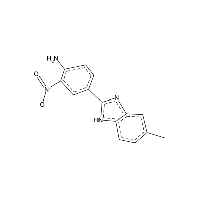 Cc1ccc2[nH]c(-c3ccc(N)c([N+](=O)[O-])c3)nc2c1